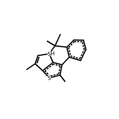 CC1=C[SH]2c3c1sc(C)c3-c1ccccc1C2(C)C